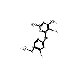 Cc1cc(C)c([N+](=O)[O-])c(Nc2ccc(CC(=O)O)c(Cl)c2)n1